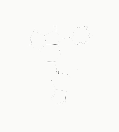 CC(C)N(Cc1ccco1)C(=O)Cc1c(-c2ccccc2)[nH]c2ccccc12